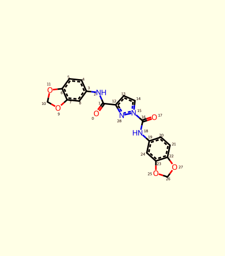 O=C(Nc1ccc2c(c1)OCO2)c1ccn(C(=O)Nc2ccc3c(c2)OCO3)n1